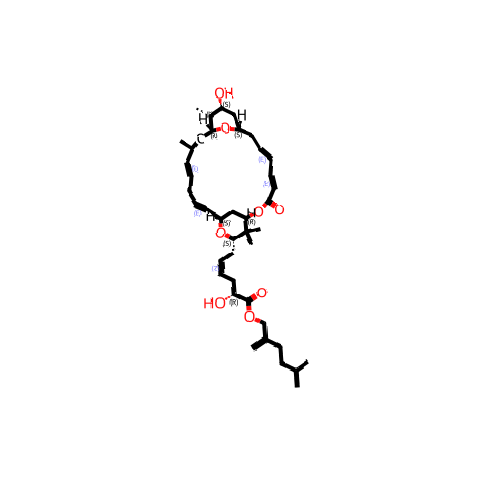 C=C(CCC(C)C)COC(=O)[C@H](O)C/C=C\C[C@@H]1O[C@@H]2/C=C/C/C=C/C(C)C[C@H]3O[C@@H](C/C=C/C=C/C(=O)O[C@H](C2)C1(C)C)C[C@H](O)[C@H]3C